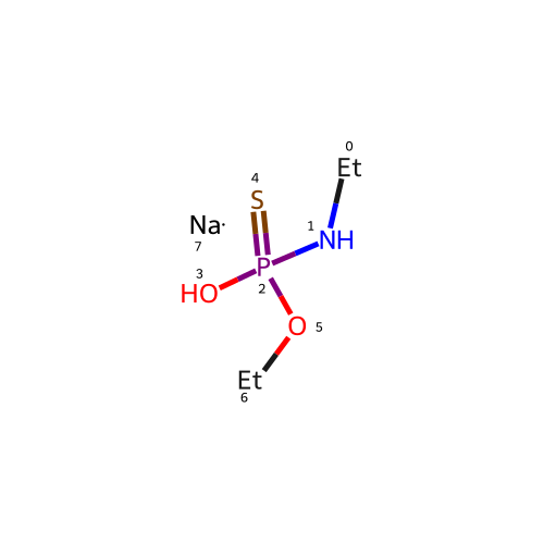 CCNP(O)(=S)OCC.[Na]